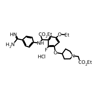 CCOC(=O)CN1CCC(Oc2cc(OCC)cc(C(Nc3ccc(C(=N)N)cc3)C(=O)OCC)c2F)CC1.Cl